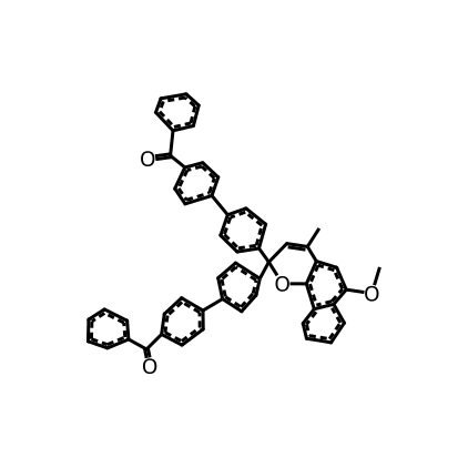 COc1cc2c(c3ccccc13)OC(c1ccc(-c3ccc(C(=O)c4ccccc4)cc3)cc1)(c1ccc(-c3ccc(C(=O)c4ccccc4)cc3)cc1)C=C2C